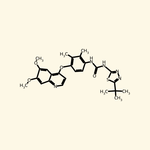 COc1cc2nccc(Oc3ccc(NC(=O)Nc4nnc(C(C)(C)C)s4)c(C)c3C)c2cc1OC